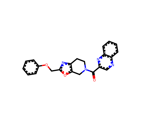 O=C(c1cnc2ccccc2n1)N1CCc2nc(COc3ccccc3)oc2C1